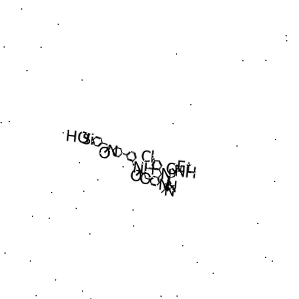 CCNC(=O)C[C@@H]1N=C(c2ccc(Cl)cc2)c2cc(OCC(=O)NCc3cccc(C4CCN(C(=O)Cc5ccc([Si](C)(C)O)cc5)CC4)c3)ccc2-n2c(C)nnc21